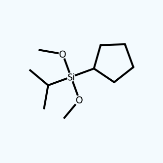 CO[Si](OC)(C(C)C)C1CCCC1